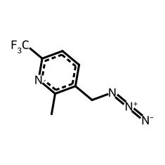 Cc1nc(C(F)(F)F)ccc1CN=[N+]=[N-]